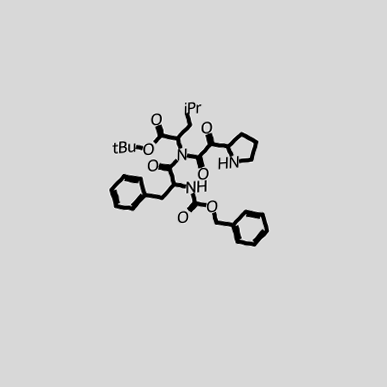 CC(C)CC(C(=O)OC(C)(C)C)N(C(=O)C(=O)C1CCCN1)C(=O)C(Cc1ccccc1)NC(=O)OCc1ccccc1